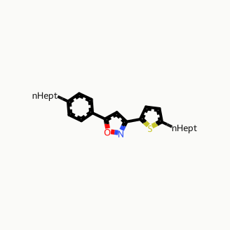 CCCCCCCc1ccc(-c2cc(-c3ccc(CCCCCCC)s3)no2)cc1